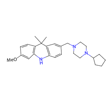 COc1ccc2c(c1)Nc1ccc(CN3CCN(C4CCCC4)CC3)cc1C2(C)C